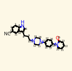 N#Cc1ccc2[nH]cc(CCCN3CCN(c4ccc(-n5ccccc5=O)cc4)CC3)c2c1